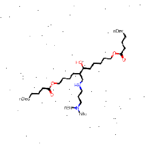 CCCCCCCCCCCCCC(=O)OCCCCCC(O)C(CCCCOC(=O)CCCCCCCCCCCCC)CNCCCN(CCCC)CCCC